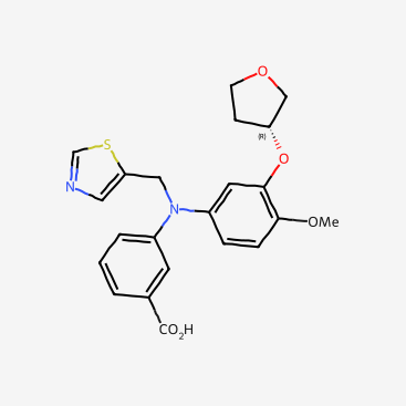 COc1ccc(N(Cc2cncs2)c2cccc(C(=O)O)c2)cc1O[C@@H]1CCOC1